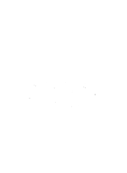 CC1=C(C/C(C)=N/O)SCC#[N+]1